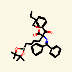 CCCCOC(=O)C(CCCCB1OC(C)(C)C(C)(C)O1)(N=C(c1ccccc1)c1ccccc1)C(=O)c1ccccc1